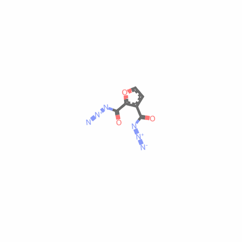 [N-]=[N+]=NC(=O)c1ccoc1C(=O)N=[N+]=[N-]